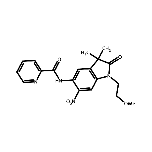 COCCN1C(=O)C(C)(C)c2cc(NC(=O)c3ccccn3)c([N+](=O)[O-])cc21